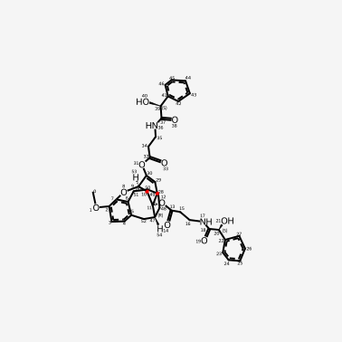 COc1ccc2c3c1O[C@@H]1C[C@@](OC(=O)CCNC(=O)[C@@H](O)c4ccccc4)(CC=C1OC(=O)CCNC(=O)[C@@H](O)c1ccccc1)[C@H](CCCC3)C2